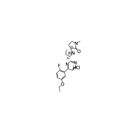 CCOc1ccc(F)c(-c2ccnc([C@@H]3CC[C@@]4(CCN(C)C4=O)N3)n2)c1.Cl